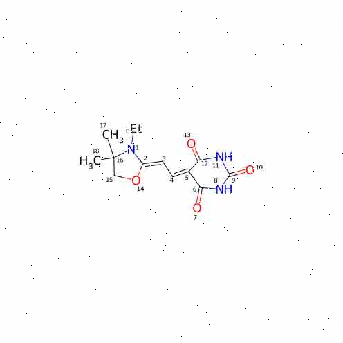 CCN1/C(=C/C=C2C(=O)NC(=O)NC2=O)OCC1(C)C